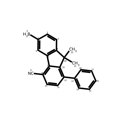 Bc1ccc2c(c1)-c1c(C#N)ccc(-c3ccccc3)c1C2(C)C